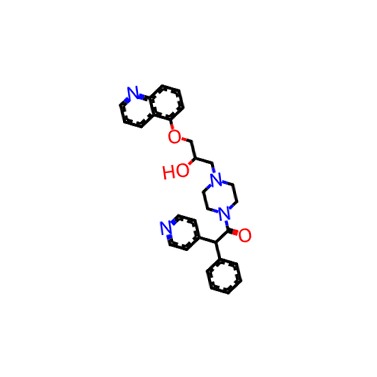 O=C(C(c1ccccc1)c1ccncc1)N1CCN(CC(O)COc2cccc3ncccc23)CC1